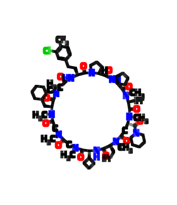 CC(C)C[C@H]1C(=O)N[C@@H](C2CCC2)C(=O)N(C)CC(=O)N(C)CC(=O)N(C)[C@@H](CC2CCCCC2)C(=O)N(C)CC(=O)N[C@@H](CCc2ccc(C(F)(F)F)c(Cl)c2)C(=O)N2CCC[C@H]2C(=O)NC2(CCCC2)C(=O)N(C)[C@@H](C(C)C)C(=O)N(C)[C@H](C(=O)N2CCCCC2)CC(=O)N1C